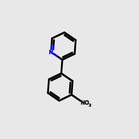 O=[N+]([O-])c1cccc(-c2ccccn2)c1